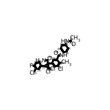 CC(=O)Nc1ccc(NC(=O)c2cc(C3(C(N)=O)C(c4ccc(F)c(Cl)c4)C3(Cl)Cl)cc(Cl)c2C)cc1